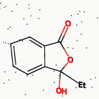 CCC1(O)OC(=O)c2ccccc21